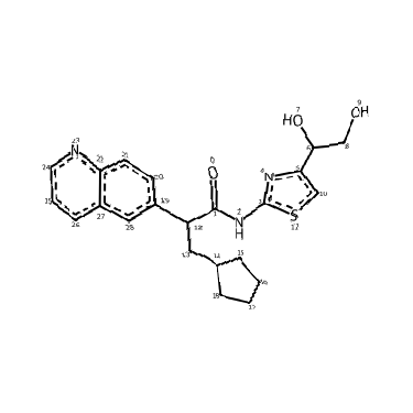 O=C(Nc1nc(C(O)CO)cs1)C(CC1CCCC1)c1ccc2ncccc2c1